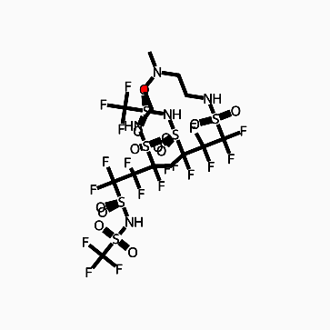 CN(CCNS(=O)(=O)C(F)(F)C(F)(F)C(F)(F)S(=O)(=O)NS(=O)(=O)C(F)(F)F)CCNS(=O)(=O)C(F)(F)C(F)(F)C(F)(F)S(=O)(=O)NS(=O)(=O)C(F)(F)F